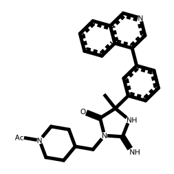 CC(=O)N1CCC(CN2C(=N)NC(C)(c3cccc(-c4cncc5ccccc45)c3)C2=O)CC1